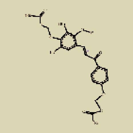 CC(C)Oc1c(/C=C/C(=O)c2ccc(OCOC(=O)C(C)(C)C)cc2)cc(C(C)(C)C)c(OCOC(=O)C(C)(C)C)c1C(C)(C)C